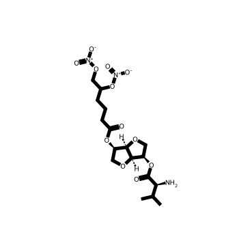 CC(C)[C@H](N)C(=O)O[C@@H]1CO[C@H]2[C@@H]1OC[C@H]2OC(=O)CCCC(CO[N+](=O)[O-])O[N+](=O)[O-]